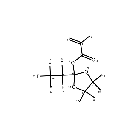 C=C(C)C(=O)OC1(C(F)(F)C(F)(F)F)OC(C)(C)C(C)(C)O1